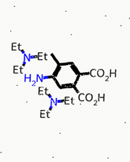 CCN(CC)CC.CCN(CC)CC.Cc1cc(C(=O)O)c(C(=O)O)cc1N